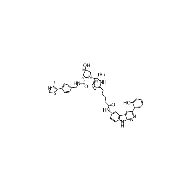 Cc1ncsc1-c1ccc(CNC(=O)[C@@H]2C[C@@H](O)CN2C(=O)[C@@H](NC(=O)CCCCC(=O)Nc2ccc3[nH]c4nnc(-c5ccccc5O)cc4c3c2)C(C)(C)C)cc1